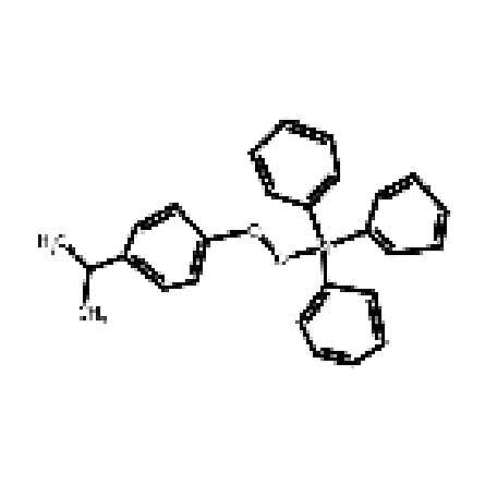 CC(C)c1ccc(OO[Si](c2ccccc2)(c2ccccc2)c2ccccc2)cc1